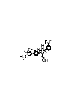 CN1C[C@@H](c2ccc3c(c2)nc(NC(=O)c2cccc(C(F)F)c2)n3CCCO)C(C)(C)C1=O